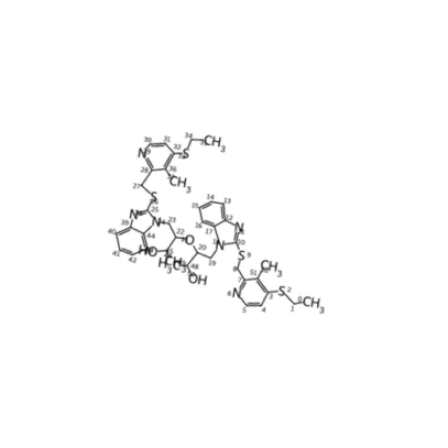 CCSc1ccnc(CSc2nc3ccccc3n2CC(OC(Cn2c(SCc3nccc(SCC)c3C)nc3ccccc32)C(C)O)C(C)O)c1C